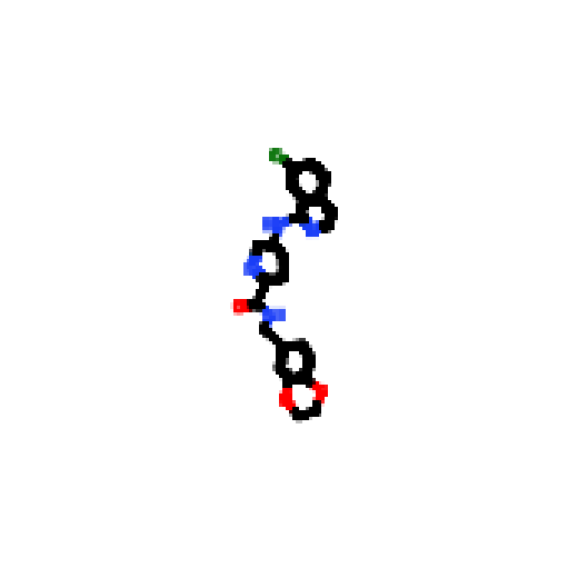 O=C(NCc1ccc2c(c1)OCCO2)c1ccc(Nc2nccc3ccc(Cl)cc23)cn1